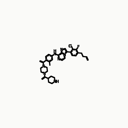 C=CCCc1ccc(-c2cnc3c(Nc4ccc(C(=C)N5CCN(C(=C)C6CCNCC6)CC5)c(C)c4)nccn23)c(Cl)c1F